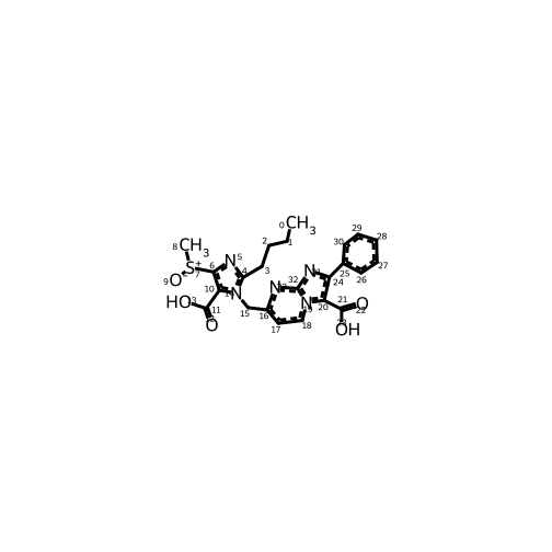 CCCCc1nc([S+](C)[O-])c(C(=O)O)n1Cc1ccn2c(C(=O)O)c(-c3ccccc3)nc2n1